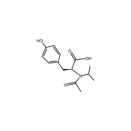 CC(=O)N(C(C)C)[C@@H](Cc1ccc(O)cc1)C(=O)O